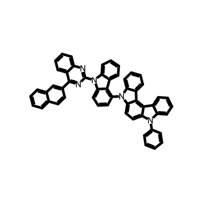 c1ccc(-n2c3ccccc3c3c4c5ccccc5n(-c5cccc6c5c5ccccc5n6-c5nc(-c6ccc7ccccc7c6)c6ccccc6n5)c4ccc32)cc1